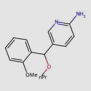 CCCOC(c1ccc(N)nc1)c1ccccc1OC